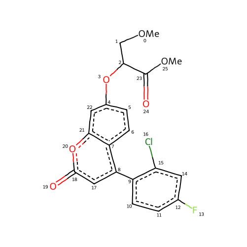 COCC(Oc1ccc2c(-c3ccc(F)cc3Cl)cc(=O)oc2c1)C(=O)OC